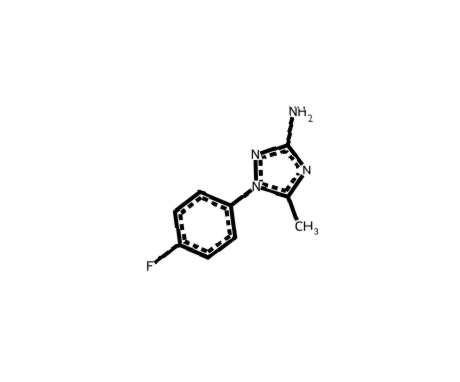 Cc1nc(N)nn1-c1ccc(F)cc1